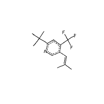 CC(C)=Cc1cnc(C(C)(C)C)cc1C(F)(F)F